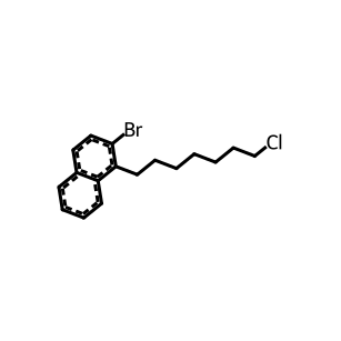 ClCCCCCCCc1c(Br)ccc2ccccc12